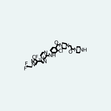 O=C(CN1CCN(C(=O)c2ccc(Nc3nccn4c(-c5cn(CC(F)F)nc5C(F)(F)F)cnc34)cc2Cl)CC1)N1CCNCC1